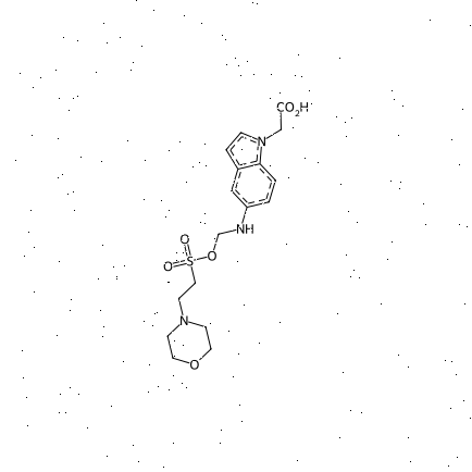 O=C(O)Cn1ccc2cc(NCOS(=O)(=O)CCN3CCOCC3)ccc21